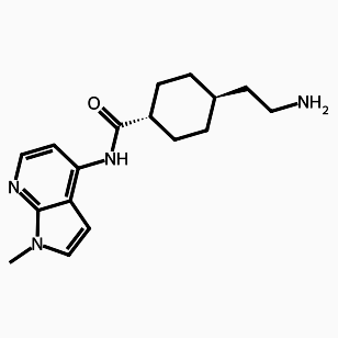 Cn1ccc2c(NC(=O)[C@H]3CC[C@H](CCN)CC3)ccnc21